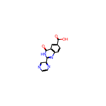 O=C(O)c1ccc2nc(-c3cnccn3)[nH]c(=O)c2c1